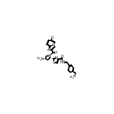 NCc1ccc(CNC(=O)c2csc([C@@H]3C[C@@H](N)CN3C(=O)c3cn4cc(Cl)ccc4n3)n2)cc1